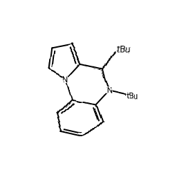 CC(C)(C)C1c2cccn2-c2ccccc2N1C(C)(C)C